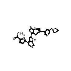 CC(=O)c1ccc(-c2cncc3[nH]c(-c4n[nH]c5ncc(-c6cncc(CN7CCCC7)c6)cc45)cc23)s1